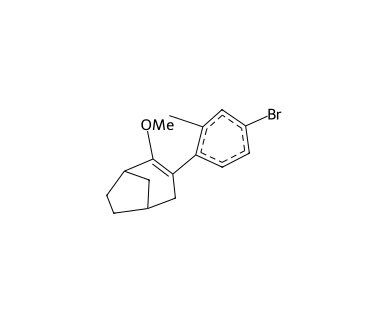 COC1=C(c2ccc(Br)cc2C)CC2CCC1C2